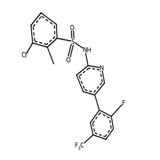 Cc1c(Cl)cccc1S(=O)(=O)Nc1ccc(-c2cc(C(F)(F)F)ccc2F)cn1